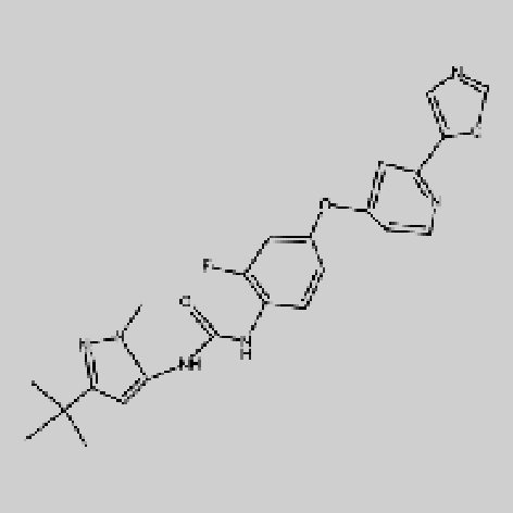 Cn1nc(C(C)(C)C)cc1NC(=O)Nc1ccc(Oc2ccnc(-c3cnco3)c2)cc1F